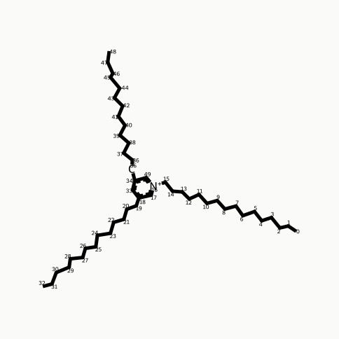 CCCCCCCCCCCCCCCC[n+]1cc(CCCCCCCCCCCCCC)cc(CCCCCCCCCCCCCC)c1